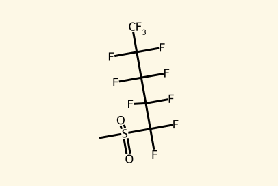 CS(=O)(=O)C(F)(F)C(F)(F)C(F)(F)C(F)(F)C(F)(F)F